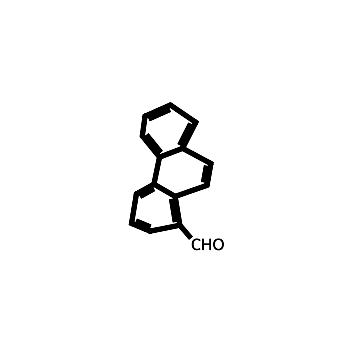 O=Cc1[c]ccc2c1ccc1ccccc12